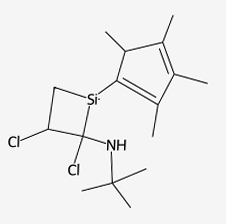 CC1=C(C)C(C)C([Si]2CC(Cl)C2(Cl)NC(C)(C)C)=C1C